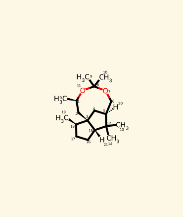 C[C@@H]1C[C@@]23C[C@@H](COC(C)(C)O1)C(C)(C)[C@@H]2CC[C@H]3C